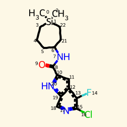 C[Si]1(C)CCCC(NC(=O)c2cc3c(F)c(Cl)ncc3[nH]2)CC1